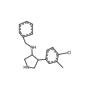 Cc1cc(C2CNCC2NCc2ccccc2)ccc1Cl